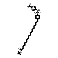 CC(C)(C)OC(=O)CCCCCCCCCCCCCCCCCc1ccc(S(=O)(=O)Nc2cnc(C(=O)O)nc2)cc1